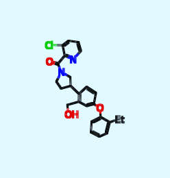 CCc1ccccc1Oc1ccc(C2CCN(C(=O)c3ncccc3Cl)C2)c(CO)c1